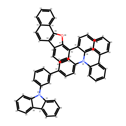 c1ccc(-c2ccccc2N(c2ccc(-c3cccc(-n4c5ccccc5c5ccccc54)c3)cc2)c2ccccc2-c2cccc3c2oc2c4ccccc4ccc32)cc1